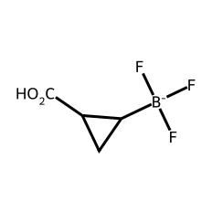 O=C(O)C1CC1[B-](F)(F)F